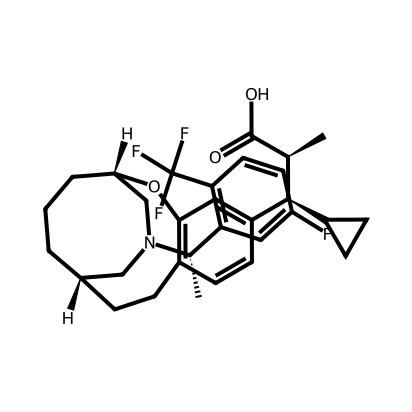 C[C@H](C(=O)O)[C@H](c1ccc2c(c1)O[C@H]1CCC[C@@H](CC2)CN([C@@H](C)c2cc(F)ccc2C(F)(F)F)C1)C1CC1